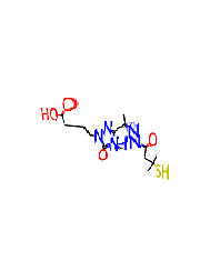 C/C(=N/NC(=O)CC(C)(C)S)c1nn(CCCC(=O)O)c(=O)n1C